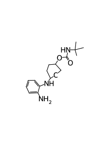 CC(C)(C)NC(=O)OC1CCC(Nc2ccccc2N)CC1